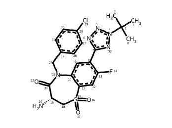 CC(C)(C)n1nnc(-c2cc3c(cc2F)S(=O)(=O)C[C@H](N)C(=O)N3Cc2ccc(Cl)cc2)n1